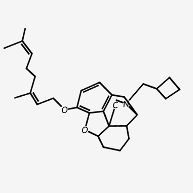 CC(C)=CCCC(C)=CCOc1ccc2c3c1OC1CCCC4C(C2)N(CC2CCC2)CCC314